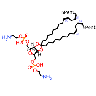 CCCCC/C=C\C/C=C\CCCCCCCCC1(CCCCCCCC/C=C\C/C=C\CCCCC)O[C@@H]2[C@H](COP(=O)(O)OCCN)OC(COP(=O)(O)OCCN)[C@H]2O1